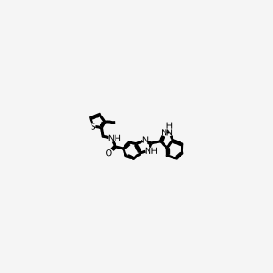 Cc1ccsc1CNC(=O)c1ccc2[nH]c(-c3n[nH]c4ccccc34)nc2c1